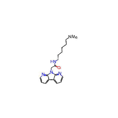 CNCCCCCCNC(=O)Cn1c2ncccc2c2cccnc21